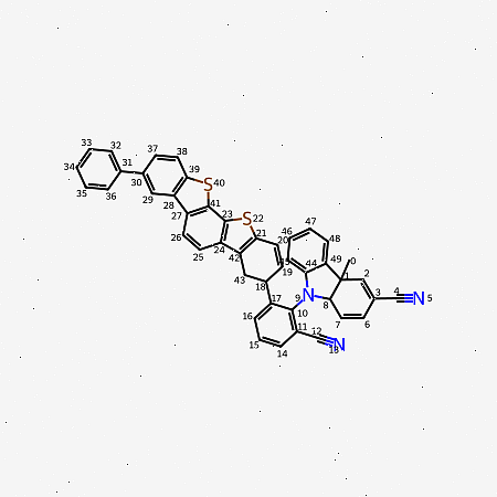 CC12C=C(C#N)C=CC1N(c1c(C#N)cccc1C1C=Cc3sc4c(ccc5c6cc(-c7ccccc7)ccc6sc54)c3C1)c1ccccc12